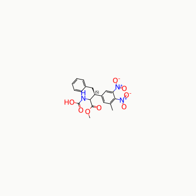 COC(=O)C(NC(=O)O)[C@@H](Cc1ccccc1)c1cc(C)c([N+](=O)[O-])c([N+](=O)[O-])c1